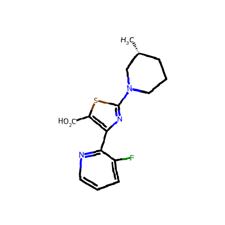 C[C@@H]1CCCN(c2nc(-c3ncccc3F)c(C(=O)O)s2)C1